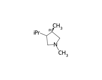 CC(C)C1CN(C)C[C@@H]1C